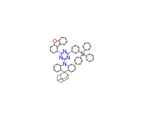 c1ccc([Si](c2ccccc2)(c2ccccc2)c2cccc(-c3nc(-c4cccc5oc6ccccc6c45)nc(N4c5ccccc5C5(c6ccccc64)C4CC6CC(C4)CC5C6)n3)c2)cc1